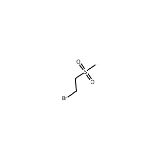 [CH2]S(=O)(=O)CCBr